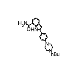 CCCCN1CCN(c2ccc(-c3cc4cccc(C(N)=O)c4[nH]3)cc2)CC1